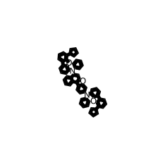 c1ccc(N(c2ccc3c(c2)oc2cc(N(c4ccccc4)c4cccc5c4oc4c(C6CCCC6)cccc45)c4ccccc4c23)c2cccc3c2oc2c(C4CCCC4)cccc23)cc1